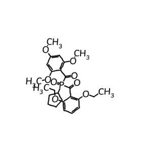 CCOc1cccc(OCC)c1C(=O)P(=O)(C(=O)c1c(OC)cc(OC)cc1OC)C1CCCC1